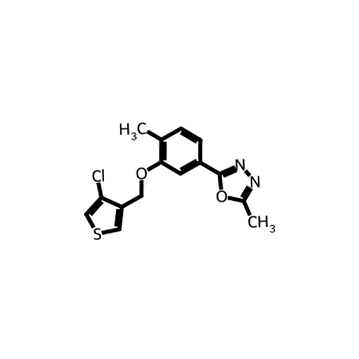 Cc1nnc(-c2ccc(C)c(OCc3cscc3Cl)c2)o1